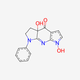 O=C1c2ccn(O)c2N=C2N(c3ccccc3)CCC12O